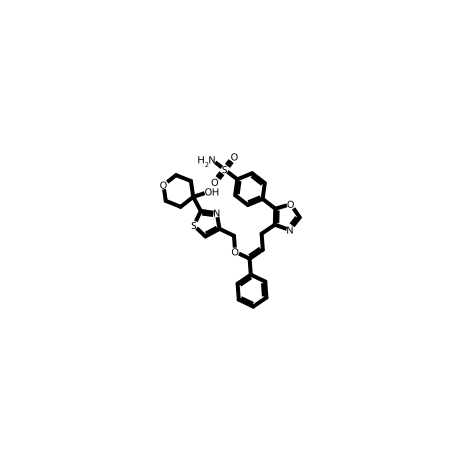 NS(=O)(=O)c1ccc(-c2ocnc2C/C=C(\OCc2csc(C3(O)CCOCC3)n2)c2ccccc2)cc1